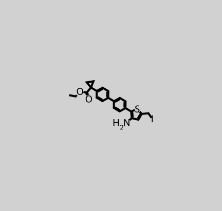 CCOC(=O)C1(c2ccc(-c3ccc(-c4sc(CI)cc4N)cc3)cc2)CC1